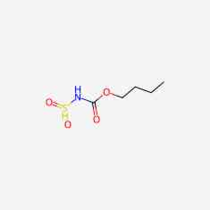 CCCCOC(=O)N[SH](=O)=O